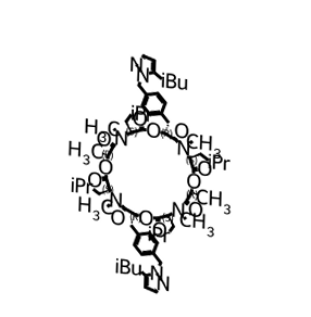 CCC(C)c1ccnn1Cc1ccc(C[C@H]2OC(=O)[C@H](CC(C)C)N(C)C(=O)[C@@H](C)OC(=O)[C@H](CC(C)C)N(C)C(=O)[C@@H](Cc3ccc(Cn4nccc4C(C)CC)cc3)OC(=O)[C@H](CC(C)C)N(C)C(=O)[C@@H](C)OC(=O)[C@H](CC(C)C)N(C)C2=O)cc1